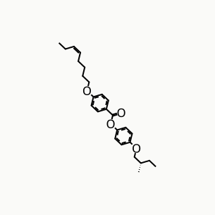 CC/C=C\CCCCOc1ccc(C(=O)Oc2ccc(OC[C@@H](C)CC)cc2)cc1